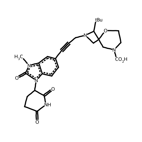 Cn1c(=O)n(C2CCC(=O)NC2=O)c2ccc(C#CCN3CC4(CN(C(=O)O)CCO4)C3C(C)(C)C)cc21